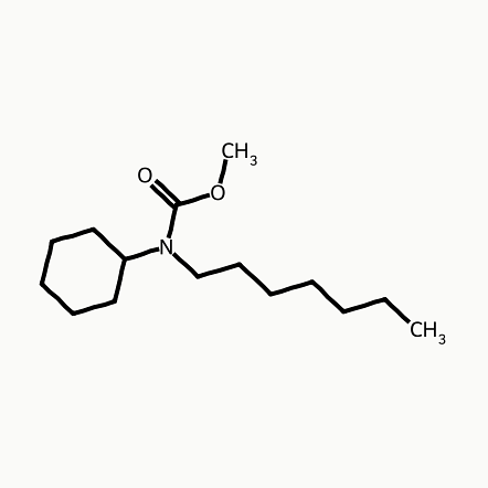 CCCCCCCN(C(=O)OC)C1CCCCC1